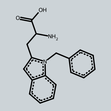 NC(Cc1cc2ccccc2n1Cc1ccccc1)C(=O)O